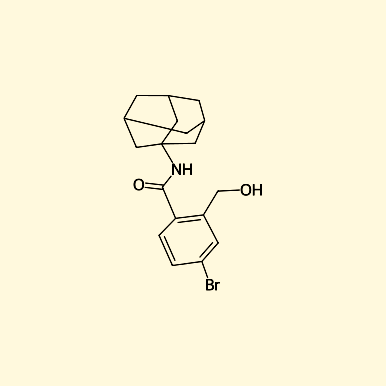 O=C(NC12CC3CC(CC(C3)C1)C2)c1ccc(Br)cc1CO